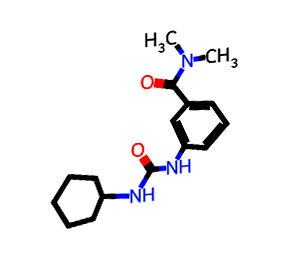 CN(C)C(=O)c1cccc(NC(=O)NC2CCCCC2)c1